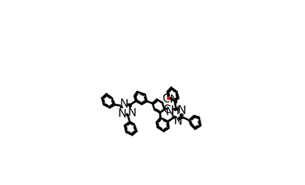 CC1C(c2ccccc2-c2nc(-c3ccccc3)nc(-c3ccccc3)n2)=CC(c2cccc(-c3nc(-c4ccccc4)nc(-c4ccccc4)n3)c2)=CC1C#N